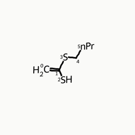 C=C(S)SCCCC